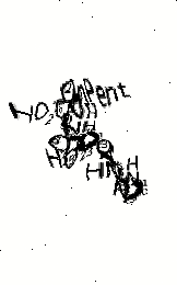 CCCCCC(=O)N[C@@H](CNC(=O)c1ccc(OCCNC2=NCCCN2)cc1O)C(=O)O